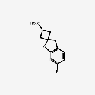 O=C(O)N1CC2(Cc3ccc(F)nc3O2)C1